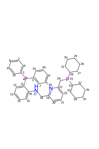 c1ccc(P(c2ccccc2)c2ccccc2NCc2cccc(CP(C3CCCCC3)C3CCCCC3)n2)cc1